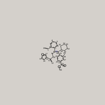 C=Cc1ccccc1/C(CCC(=C)c1ccoc1)=C(/c1ccc(C(=O)OC)cc1C)C1CCCCC1